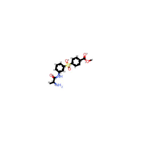 COC(=O)c1ccc(S(=O)(=O)c2cccc(NC(=O)C(C)N)c2)cc1